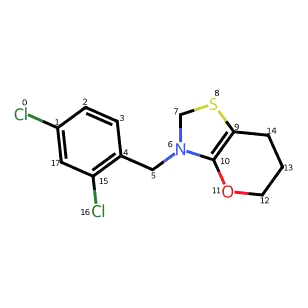 Clc1ccc(CN2CSC3=C2OCCC3)c(Cl)c1